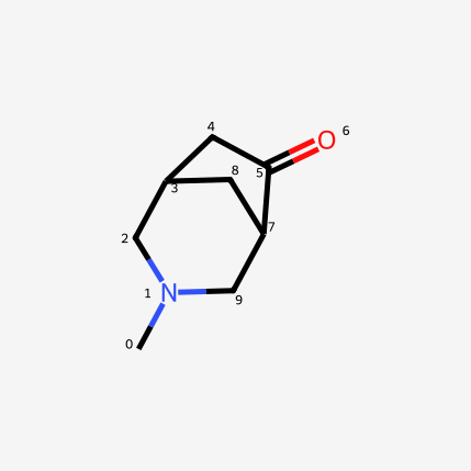 CN1CC2CC(=O)C(C2)C1